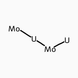 [Mo][U][Mo][U]